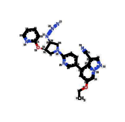 CCOc1cc(-c2ccc(N3C[C@H](Oc4ccccn4)[C@H](N=[N+]=[N-])C3)nc2)c2c(C#N)cnn2c1